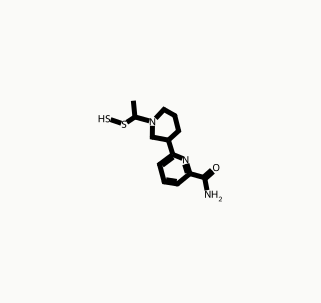 CC(SS)N1CCCC(c2cccc(C(N)=O)n2)C1